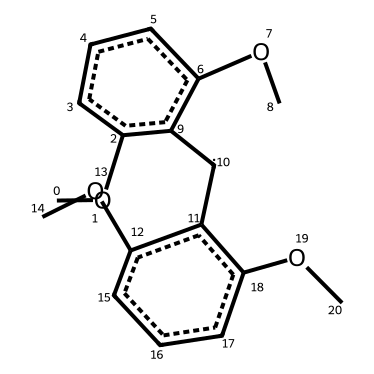 COc1cccc(OC)c1[CH]c1c(OC)cccc1OC